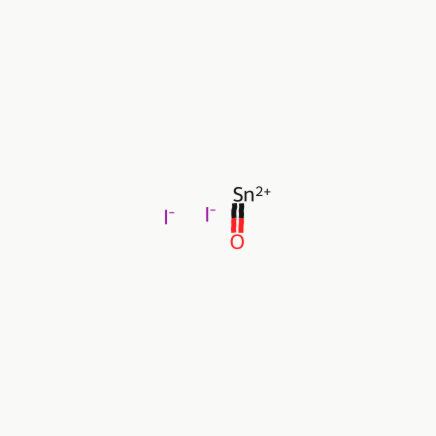 [I-].[I-].[O]=[Sn+2]